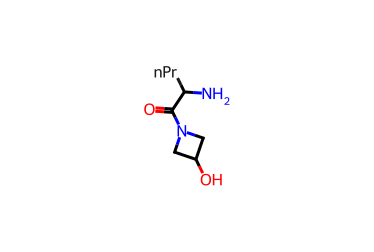 CCCC(N)C(=O)N1CC(O)C1